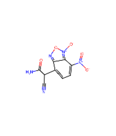 N#CC(C(N)=O)c1ccc([N+](=O)[O-])c2c1no[n+]2[O-]